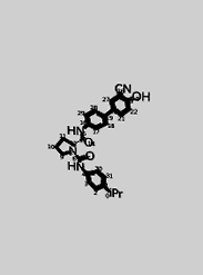 CC(C)c1ccc(NC(=O)N2CCC[C@@H]2C(=O)Nc2ccc(-c3ccc(O)c(C#N)c3)cc2)cc1